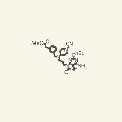 CCCCOc1nc(N)c2[nH]c(=O)n(CCCN(Cc3cccc(CC(=O)OC)c3)C3CCN(CC#N)CC3)c2n1